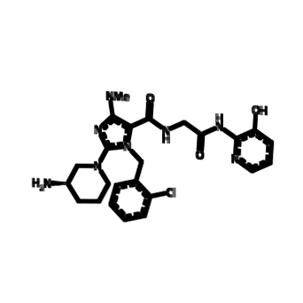 CNc1nc(N2CCC[C@@H](N)C2)n(Cc2ccccc2Cl)c1C(=O)NCC(=O)Nc1ncccc1O